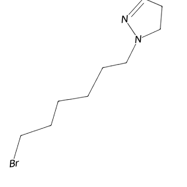 BrCCCCCCN1CCC=N1